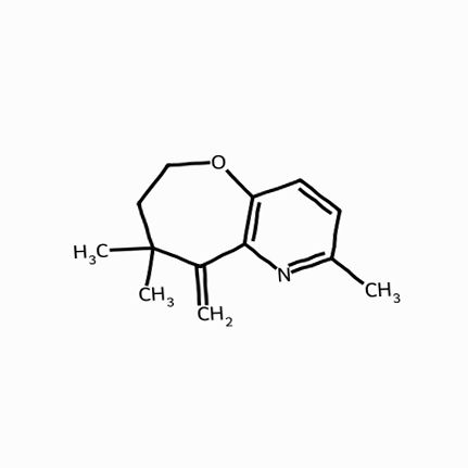 C=C1c2nc(C)ccc2OCCC1(C)C